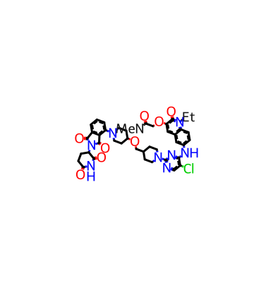 CCn1c(=O)c(OCC(=O)NC)cc2cc(Nc3nc(N4CCC(COC5CCN(c6cccc7c6C(=O)N(C6CCC(=O)NC6=O)C7=O)CC5)CC4)ncc3Cl)ccc21